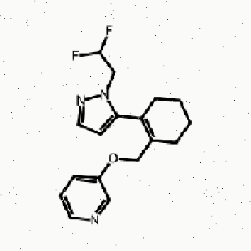 FC(F)Cn1nccc1C1=C(COc2cccnc2)CCCC1